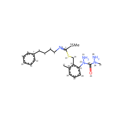 CSC(=NCCCCc1ccccc1)SCc1c(C)cccc1N(N)C(=O)N(C)N